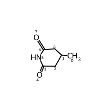 CC1CC(=O)NC(=O)C1